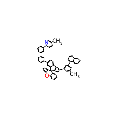 Cc1ccc(-c2cccc(-c3cccc(-c4ccc5c(c4)C4(c6ccccc6Oc6ccccc64)c4ccc(-c6cc(C)cc(-c7cccc8ccccc78)c6)cc4-5)c3)c2)nc1